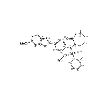 COc1ccc2oc(C(=O)N[C@@H](CC(C)C)C(=O)N(C3CCCNCC3=O)S(=O)(=O)c3ccccc3F)cc2c1